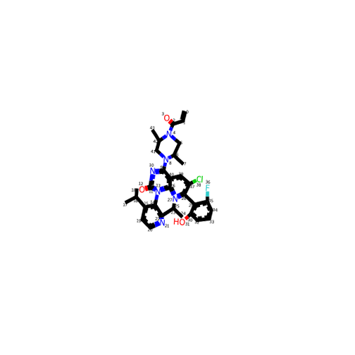 C=CC(=O)N1CC(C)N(c2nc(=O)n(-c3c(C(C)C)ccnc3C(C)C)c3nc(-c4c(O)cccc4F)c(Cl)cc23)CC1C